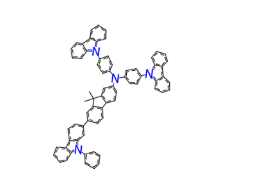 CC1(C)c2cc(-c3ccc4c5ccccc5n(-c5ccccc5)c4c3)ccc2-c2ccc(N(c3ccc(-n4c5ccccc5c5ccccc54)cc3)c3ccc(-n4c5ccccc5c5ccccc54)cc3)cc21